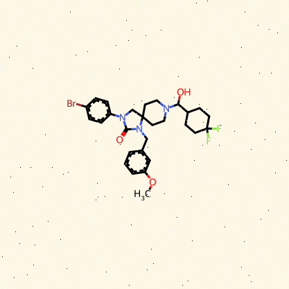 COc1cccc(CN2C(=O)N(c3ccc(Br)cc3)CC23CCN(C(O)C2CCC(F)(F)CC2)CC3)c1